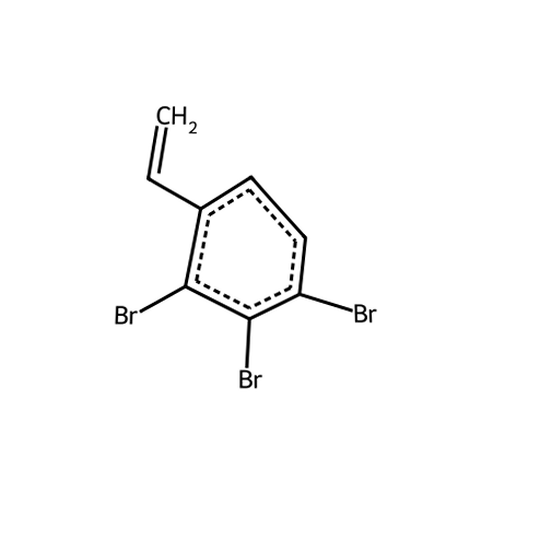 C=Cc1ccc(Br)c(Br)c1Br